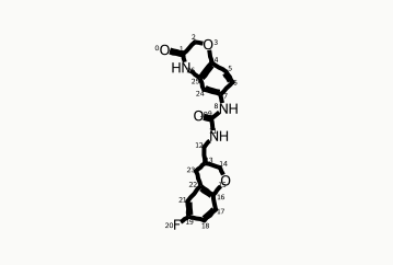 O=C1COc2ccc(NC(=O)NCC3COc4ccc(F)cc4C3)cc2N1